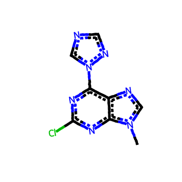 Cn1cnc2c(-n3cncn3)nc(Cl)nc21